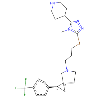 Cn1c(SCCCN2CC[C@@]3(C[C@H]3c3ccc(C(F)(F)F)cc3)C2)nnc1C1CCNCC1